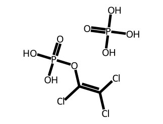 O=P(O)(O)O.O=P(O)(O)OC(Cl)=C(Cl)Cl